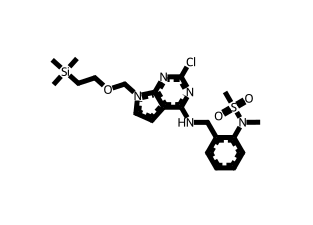 CN(c1ccccc1CNc1nc(Cl)nc2c1ccn2COCC[Si](C)(C)C)S(C)(=O)=O